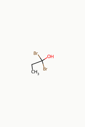 CCC(O)(Br)Br